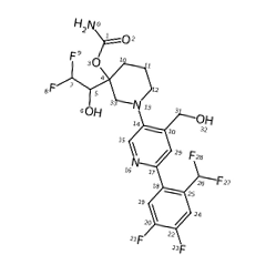 NC(=O)OC1(C(O)C(F)F)CCCN(c2cnc(-c3cc(F)c(F)cc3C(F)F)cc2CO)C1